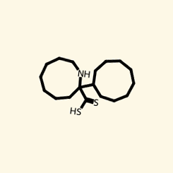 S=C(S)C1(C2CCCCCCCC2)CCCCCCCN1